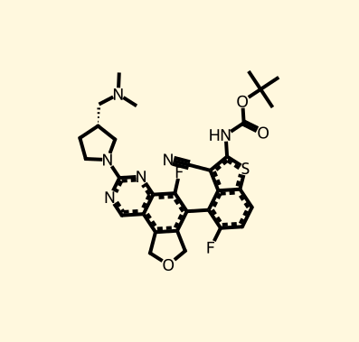 CN(C)C[C@H]1CCN(c2ncc3c4c(c(-c5c(F)ccc6sc(NC(=O)OC(C)(C)C)c(C#N)c56)c(F)c3n2)COC4)C1